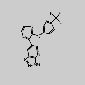 FC(F)(F)c1ccc(Sc2nccnc2-c2cnc3[nH]nnc3c2)cc1